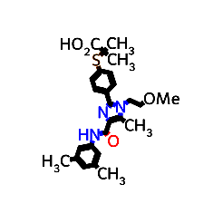 COCCn1c(-c2ccc(SC(C)(C)C(=O)O)cc2)nc(C(=O)Nc2cc(C)cc(C)c2)c1C